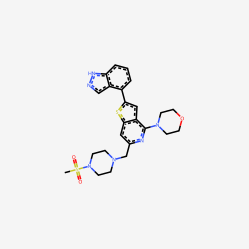 CS(=O)(=O)N1CCN(Cc2cc3sc(-c4cccc5[nH]ncc45)cc3c(N3CCOCC3)n2)CC1